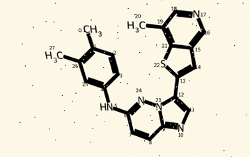 Cc1ccc(Nc2ccc3ncc(-c4cc5cncc(C)c5s4)n3n2)cc1C